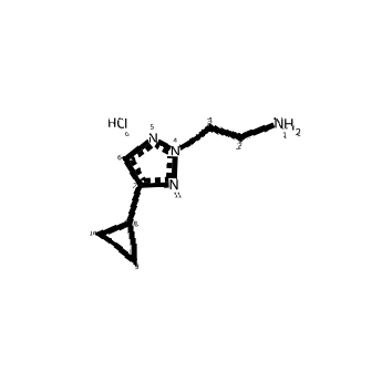 Cl.NCCn1ncc(C2CC2)n1